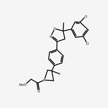 COCC(=O)N1CC(F)(c2ccc(C3=NOC(C)(c4cc(Cl)cc(Cl)c4)C3)cc2)C1